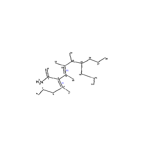 C=C(N)C(=C(/C)CCC)/C(C)=C(\C)C(C)C(CCC)CCC